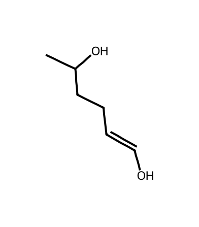 CC(O)CCC=CO